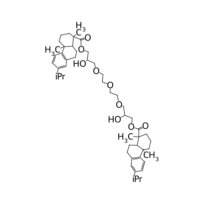 CC(C)c1ccc2c(c1)CCC1C(C)(C(=O)OCC(O)COCCOCCOCC(O)COC(=O)C3(C)CCCC4(C)c5ccc(C(C)C)cc5CCC34)CCCC21C